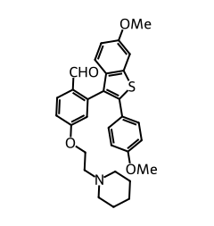 COc1ccc(-c2sc3cc(OC)ccc3c2-c2cc(OCCN3CCCCC3)ccc2C=O)cc1